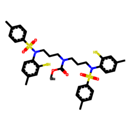 Cc1ccc(S(=O)(=O)N(CCCN(CCCN(c2ccc(C)cc2S)S(=O)(=O)c2ccc(C)cc2)C(=O)OC(C)(C)C)c2ccc(C)cc2S)cc1